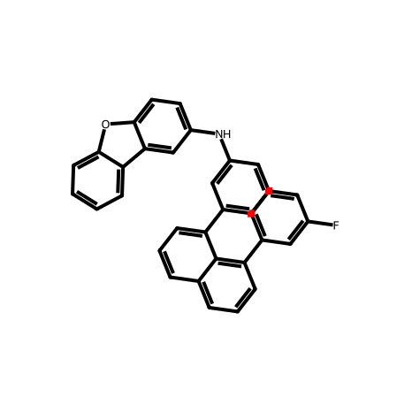 Fc1cccc(-c2cccc3cccc(-c4cccc(Nc5ccc6oc7ccccc7c6c5)c4)c23)c1